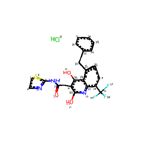 Cl.O=C(Nc1nccs1)c1c(O)nc2c(C(F)(F)F)ccc(Cc3ccccc3)c2c1O